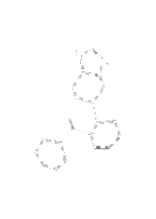 O=C(c1ccccc1)c1ccccc1-c1ccc2[nH]cnc2c1